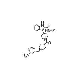 CC(C)NC(=O)c1[nH]c2ccccc2c1C1CCN(C(=O)C2CCN(Cc3ccnc(N)c3)CC2)CC1